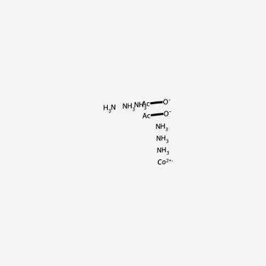 CC(=O)[O-].CC(=O)[O-].N.N.N.N.N.N.[Co+2]